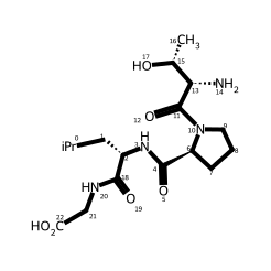 CC(C)C[C@H](NC(=O)[C@@H]1CCCN1C(=O)[C@@H](N)[C@@H](C)O)C(=O)NCC(=O)O